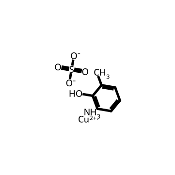 Cc1ccccc1O.N.O=S(=O)([O-])[O-].[Cu+2]